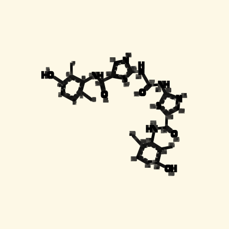 Cc1ccc(O)c(C)c1NC(=O)c1cnc(NC(=O)Nc2ncc(C(=O)Nc3c(C)ccc(O)c3C)s2)s1